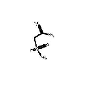 C=C(N)CS(N)(=O)=O